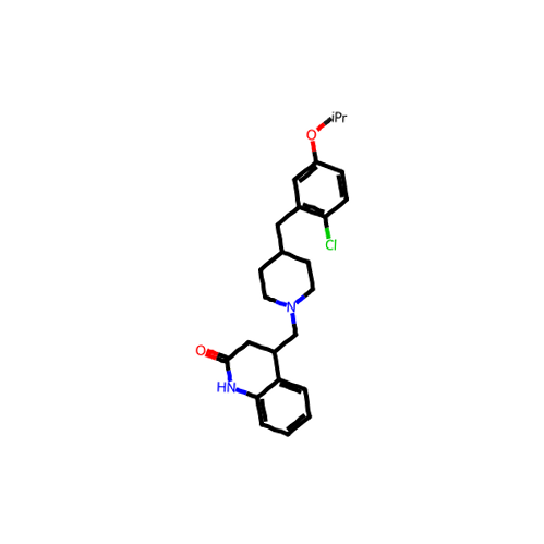 CC(C)Oc1ccc(Cl)c(CC2CCN(CC3CC(=O)Nc4ccccc43)CC2)c1